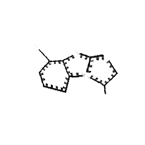 Cc1csc2nc3c(N)cccc3n12